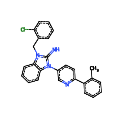 Cc1ccccc1-c1ccc(-n2c(=N)n(Cc3ccccc3Cl)c3ccccc32)cn1